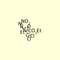 CCOC(=O)c1c(-c2ccc(Cl)c(Cl)c2)n(CC)c(Cn2cnc([N+](=O)[O-])c2)cc1=O